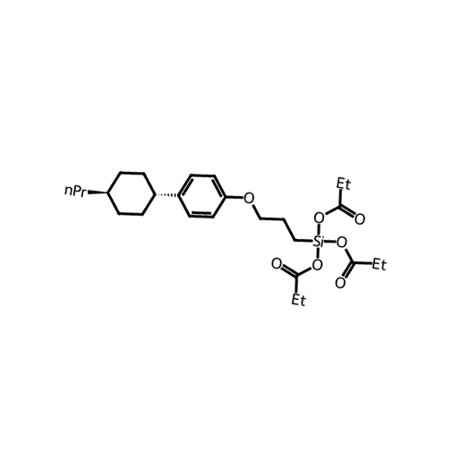 CCC[C@H]1CC[C@H](c2ccc(OCCC[Si](OC(=O)CC)(OC(=O)CC)OC(=O)CC)cc2)CC1